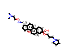 CN(C)CCONC[C@H]1CC[C@]2(O)[C@@H]3CC[C@@H]4C[C@@](O)(OCCCN5CCCC5)CC[C@]4(C)[C@H]3CC[C@]12C